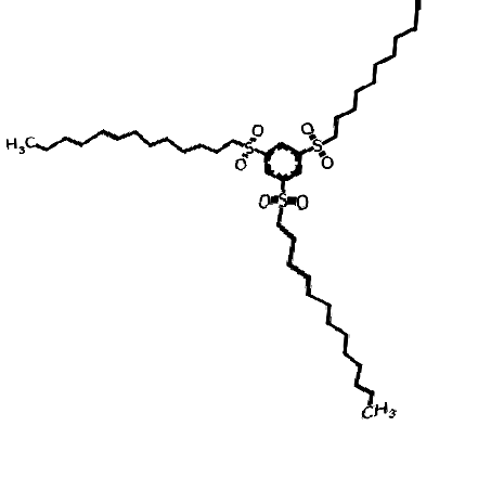 CCCCCCCCCCCCCS(=O)(=O)c1cc(S(=O)(=O)CCCCCCCCCCCCC)cc(S(=O)(=O)CCCCCCCCCCCCC)c1